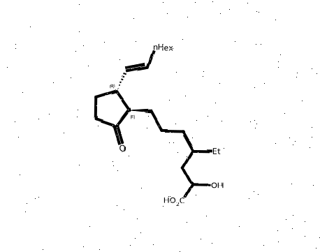 CCCCCCC=C[C@H]1CCC(=O)[C@@H]1CCCC(CC)CC(O)C(=O)O